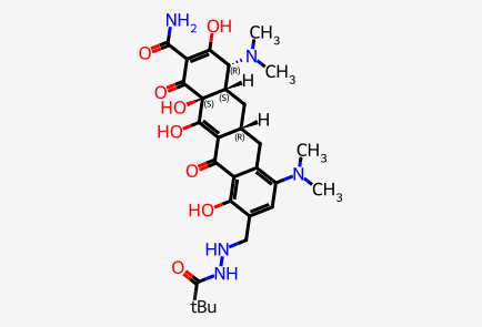 CN(C)c1cc(CNNC(=O)C(C)(C)C)c(O)c2c1C[C@H]1C[C@H]3[C@@H](N(C)C)C(O)=C(C(N)=O)C(=O)[C@@]3(O)C(O)=C1C2=O